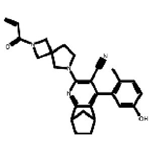 C=CC(=O)N1CC2(CCN(c3nc4c(c(-c5cc(O)ccc5C)c3C#N)C3CCC4C3)C2)C1